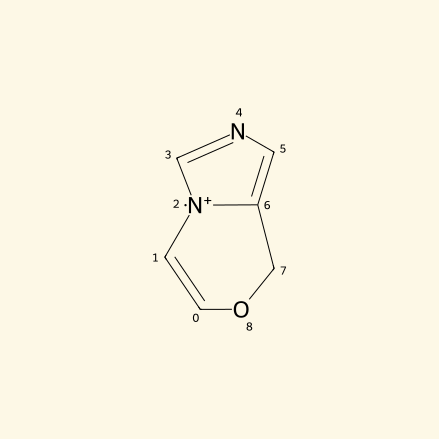 C1=C[N+]2C=NC=C2CO1